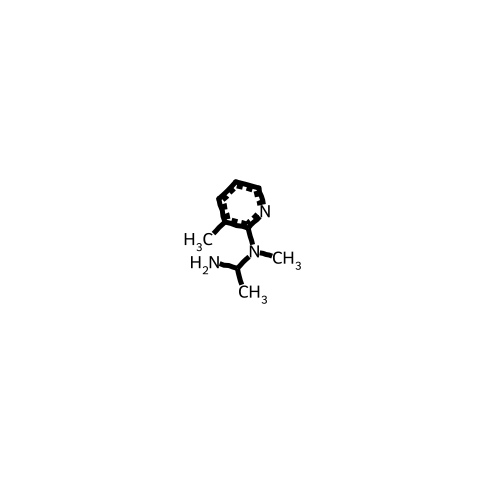 Cc1cccnc1N(C)C(C)N